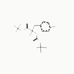 CC(C)(C)OC(=O)NC(C)(Cc1ccc(O)cc1)C(=O)OC(C)(C)C